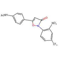 CC(=O)Nc1ccc(-c2cc(=O)n(-c3ccc(C(F)(F)F)cc3[N+](=O)[O-])o2)cc1